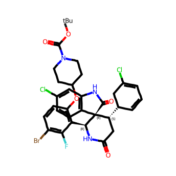 CC(C)(C)OC(=O)N1CCC(Oc2ccc(Br)c(F)c2[C@@H]2NC(=O)C[C@@H](C3C=CC=C(Cl)C3)[C@]23C(=O)Nc2cc(Cl)ccc23)CC1